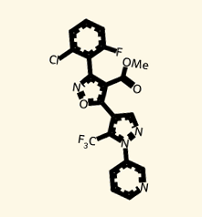 COC(=O)c1c(-c2c(F)cccc2Cl)noc1-c1cnn(-c2cccnc2)c1C(F)(F)F